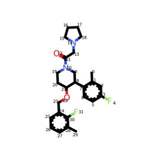 Cc1cc(F)ccc1C1CN(C(=O)CN2CCCC2)CCC1OCc1cccc(C)c1F